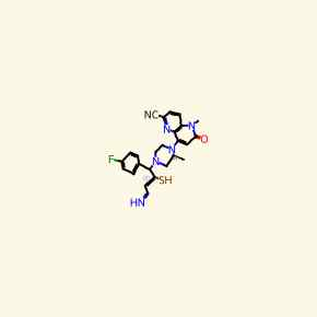 C[C@H]1CN(C(/C(S)=C/C=N)c2ccc(F)cc2)CCN1c1cc(=O)n(C)c2ccc(C#N)nc12